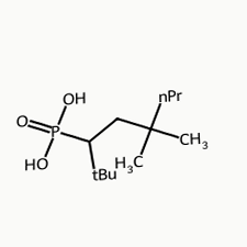 CCCC(C)(C)CC(C(C)(C)C)P(=O)(O)O